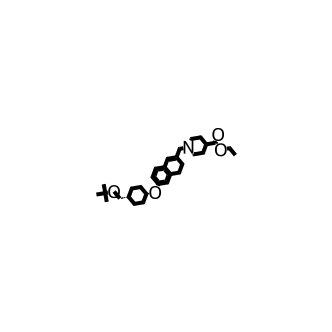 CCOC(=O)C1CCN(CC2=Cc3ccc(O[C@H]4CC[C@@H](COC(C)(C)C)CC4)cc3CC2)CC1